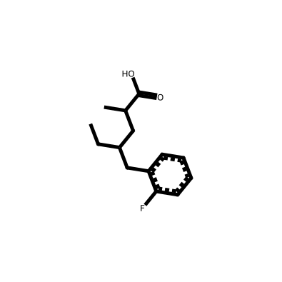 CCC(Cc1ccccc1F)CC(C)C(=O)O